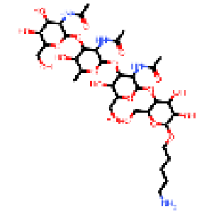 CC(=O)NC1C(OC2C(O)C(C)OC(OC3C(O)C(CO)OC(OC4C(CO)OC(OCCCCCN)C(O)C4O)C3NC(C)=O)C2NC(C)=O)OC(CO)C(O)C1O